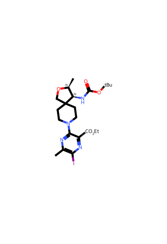 CCOC(=O)c1nc(I)c(C)nc1N1CCC2(CC1)CO[C@@H](C)[C@H]2NC(=O)OC(C)(C)C